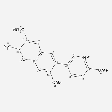 COc1ccc(-c2cc3c(cc2OC)OC(C(F)(F)F)C(C(=O)O)=C3)cn1